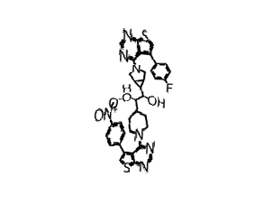 O=[N+]([O-])c1ccc(-c2csc3ncnc(N4CCC(C(O)C(O)C5C6CN(c7ncnc8scc(-c9ccc(F)cc9)c78)CC65)CC4)c23)cc1